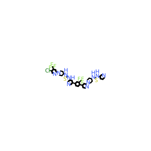 FC(F)(F)c1cc(N2CCC(NC(=S)Nc3cncc(-c4ccc(-c5ccnc(N6CCC(NC(=S)Nc7cccnc7)CC6)c5)c(C(F)(F)F)c4)c3)CC2)ncc1Cl